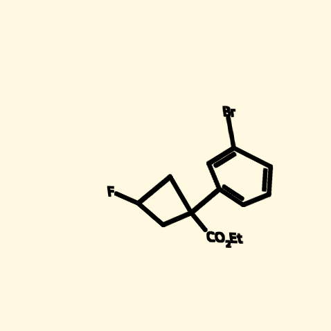 CCOC(=O)C1(c2cccc(Br)c2)CC(F)C1